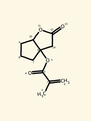 C=C(C)C(=O)OC12CCCC1OC(=O)C2